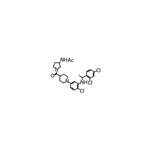 CC(=O)NC1CCN(C(=O)C2CCN(c3ccc(Cl)c(NC(C)c4ccc(Cl)cc4Cl)c3)CC2)C1